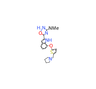 CNC(N)=NC(=O)c1cc2cccc(Oc3ccc(CN4CCCC4)s3)c2[nH]1